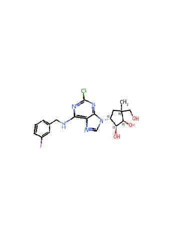 C[C@]1(CO)C[C@@H](n2cnc3c(NCc4cccc(I)c4)nc(Cl)nc32)[C@H](O)[C@@H]1O